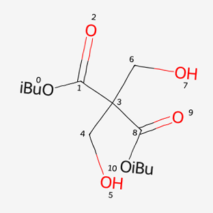 CC(C)COC(=O)C(CO)(CO)C(=O)OCC(C)C